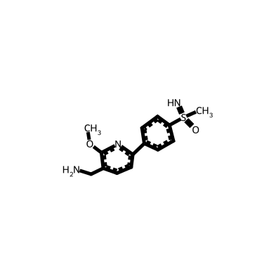 COc1nc(-c2ccc(S(C)(=N)=O)cc2)ccc1CN